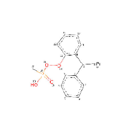 CCCC(c1ccccc1)c1ccccc1OOP(C)(=O)O